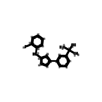 CC(C)(O)c1cccc(-c2csc(Nc3ccccc3F)n2)c1